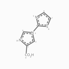 O=C(O)c1cn(-c2nccs2)cn1